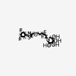 O[C@H]1[C@H](O)[C@@H](O)CN(CCC(F)(F)CCCOCc2csc(-c3cc(F)cc(F)c3)n2)C[C@@H]1O